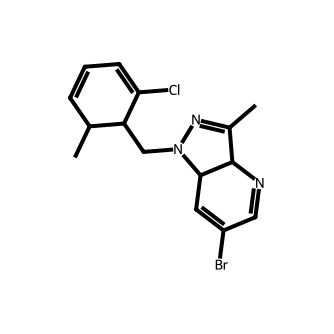 CC1=NN(CC2C(Cl)=CC=CC2C)C2C=C(Br)C=NC12